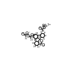 CC(=O)OC(c1ccccc1)(c1ccccc1)c1ccccc1.CC(=O)[O-].CC(=O)[O-].CC(=O)[O-].[Rh+3]